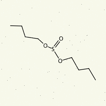 CCCCOS(=O)OCCCC